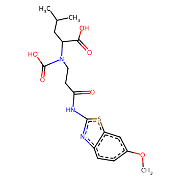 COc1ccc2nc(NC(=O)CCN(C(=O)O)C(CC(C)C)C(=O)O)sc2c1